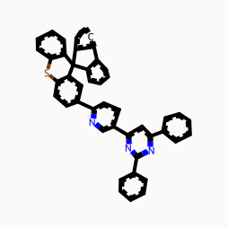 c1ccc(-c2cc(-c3ccc(-c4ccc5c(c4)C4(c6ccccc6S5)c5ccccc5-c5ccccc54)nc3)nc(-c3ccccc3)n2)cc1